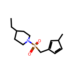 CCC1CCN(S(=O)(=O)CC2=CC(C)C=C2)CC1